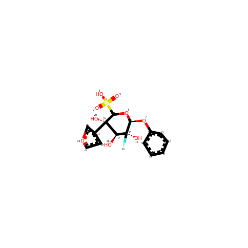 O=S(=O)(O)C1O[C@@H](Oc2ccccc2)[C@@](O)(F)[C@@H](O)[C@@]1(O)c1ccoc1